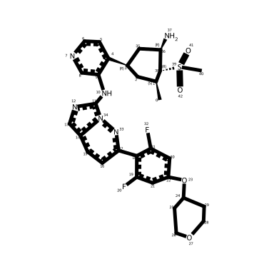 C[C@H]1C[C@@H](c2ccncc2Nc2ncc3ccc(-c4c(F)cc(OC5CCOCC5)cc4F)nn23)C[C@@H](N)[C@@H]1S(C)(=O)=O